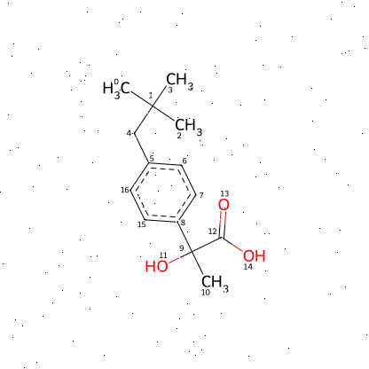 CC(C)(C)Cc1ccc(C(C)(O)C(=O)O)cc1